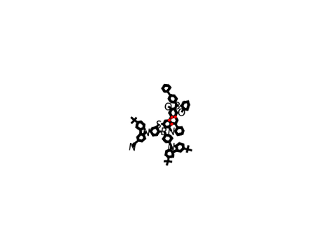 CC(C)(C)c1ccc2c(c1)c1cc(C#N)ccc1n2-c1ccc2c(c1)Sc1cc(-c3cc4c5c(c3)Oc3cc(-c6ccccc6)ccc3B5c3ccccc3O4)cc3c1B2c1ccc(-n2c4ccc(C(C)(C)C)cc4c4cc(C(C)(C)C)ccc42)cc1N3c1ccccc1-c1ccccc1